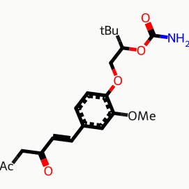 COc1cc(C=CC(=O)CC(C)=O)ccc1OCC(OC(N)=O)C(C)(C)C